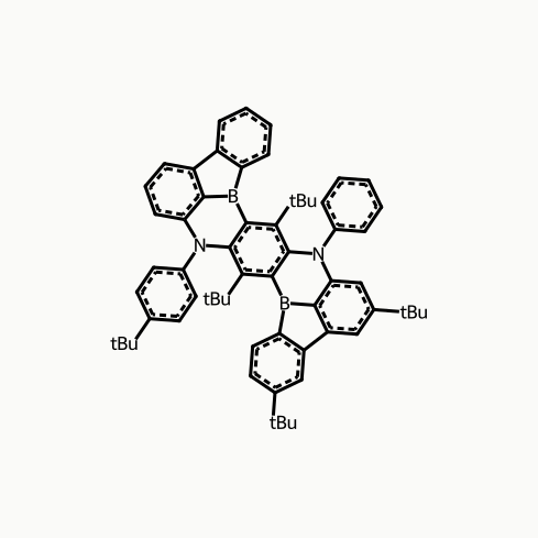 CC(C)(C)c1ccc(N2c3cccc4c3B(c3ccccc3-4)c3c2c(C(C)(C)C)c2c(c3C(C)(C)C)N(c3ccccc3)c3cc(C(C)(C)C)cc4c3B2c2ccc(C(C)(C)C)cc2-4)cc1